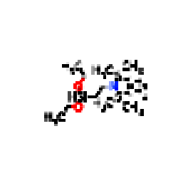 CCO[SiH](CCN([Si](C)(C)C)[Si](C)(C)C)OCC